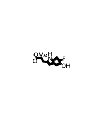 COC(=O)CCc1cc2cc(O)c(F)cc2[nH]1